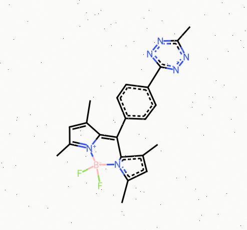 CC1=CC(C)=[N+]2C1=C(c1ccc(-c3nnc(C)nn3)cc1)c1c(C)cc(C)n1[B-]2(F)F